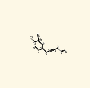 C=CCC#C/C=C(C=C)\C=C(\F)CC